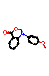 COc1ccc(N2COC(=O)c3ccccc32)cc1